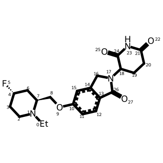 CCN1CC[C@H](F)C[C@H]1COc1ccc2c(c1)CN(C1CCC(=O)NC1=O)C2=O